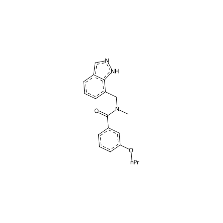 CCCOc1cccc(C(=O)N(C)Cc2cccc3cn[nH]c23)c1